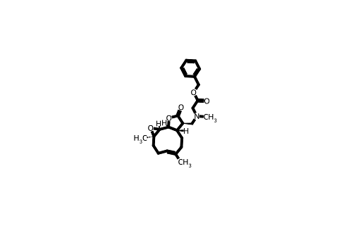 C/C1=C\CC[C@@]2(C)O[C@H]2[C@H]2OC(=O)[C@@H](CN(C)CC(=O)OCc3ccccc3)[C@@H]2CC1